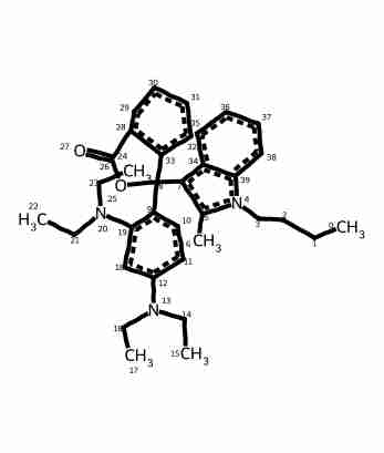 CCCCn1c(C)c(C2(c3ccc(N(CC)CC)cc3N(CC)CC)OC(=O)c3ccccc32)c2ccccc21